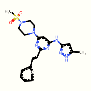 Cc1cc(Nc2cc(N3CCN(S(C)(=O)=O)CC3)nc(C=Cc3ccccc3)n2)n[nH]1